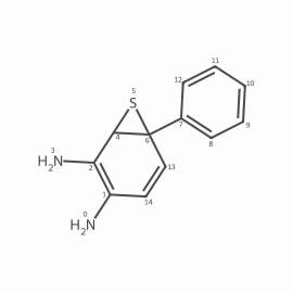 NC1=C(N)C2SC2(c2ccccc2)C=C1